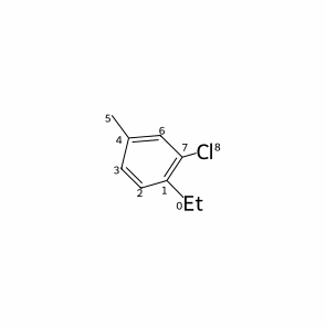 CCc1ccc(C)cc1Cl